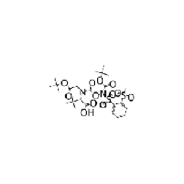 CC(C)(C)OC(=O)CN(C(=O)ON(C(=O)OC(C)(C)C)S(=O)(=O)c1ccccc1S(C)(=O)=O)C(C(=O)O)C(C)(C)C